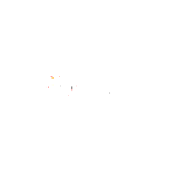 CCCCCCOC(=O)CCP(=O)(O)O